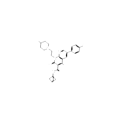 O=C(NC12CC(C1)C2)c1c(O)c2cc(-c3ccc(F)cc3)cnc2n(CCN2CCC(F)CC2)c1=O